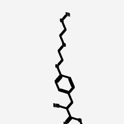 CCOCCOCCOc1ccc(CC(O)C(=O)OC(C)(C)C)cc1